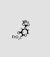 CCOC(=O)C1OCCN(C(=O)OC(C)(C)C)CC1=O